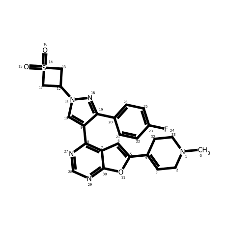 CN1CC=C(c2cc3c(-c4cn(C5CS(=O)(=O)C5)nc4-c4ccc(F)cc4)ncnc3o2)CC1